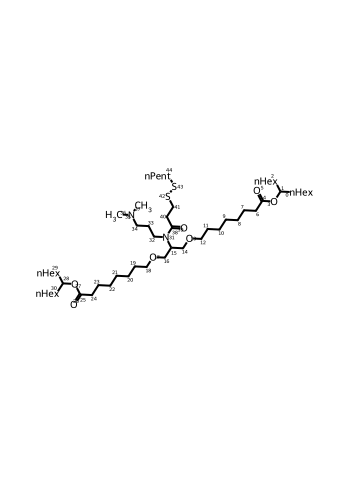 CCCCCCC(CCCCCC)OC(=O)CCCCCCCOCC(COCCCCCCCC(=O)OC(CCCCCC)CCCCCC)N(CCCN(C)C)C(=O)CCSSCCCCC